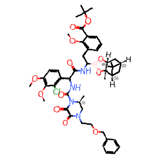 COc1ccc(C(NC(=O)N2C(=O)C(=O)N(CCOCc3ccccc3)C[C@@H]2C)C(=O)NC(Cc2cccc(C(=O)OC(C)(C)C)c2OC)B2O[C@@H]3C[C@@H]4C[C@@H](C4(C)C)[C@]3(C)O2)c(Cl)c1OC